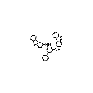 c1ccc(-c2cc(Nc3ccc4sc5ccccc5c4c3)cc(Nc3ccc4sc5ccccc5c4c3)c2)cc1